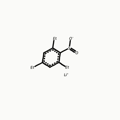 CCc1cc(CC)c(S(=O)[O-])c(CC)c1.[Li+]